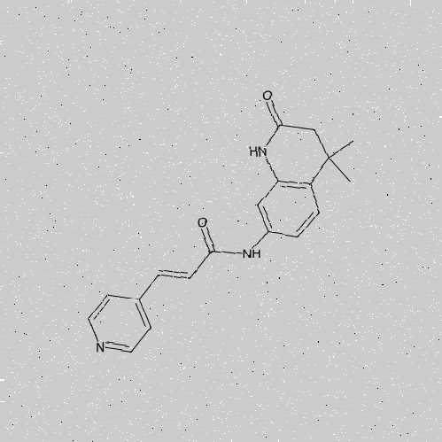 CC1(C)CC(=O)Nc2cc(NC(=O)C=Cc3ccncc3)ccc21